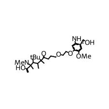 C=C(O)C(C)(NC)C(C)C(C)C(C)(C(=O)CCCOCCOc1cc(N)c(CO)cc1OC)C(C)(C)C